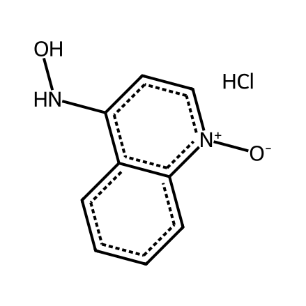 Cl.[O-][n+]1ccc(NO)c2ccccc21